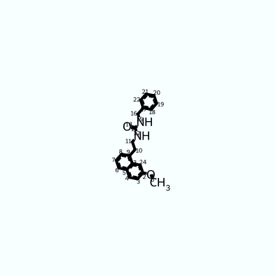 COc1ccc2cccc(CCNC(=O)NCc3ccccc3)c2c1